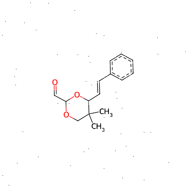 CC1(C)COC(C=O)OC1C=Cc1ccccc1